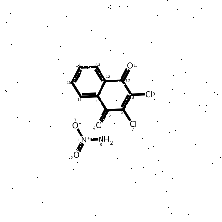 N[N+](=O)[O-].O=C1C(Cl)=C(Cl)C(=O)c2ccccc21